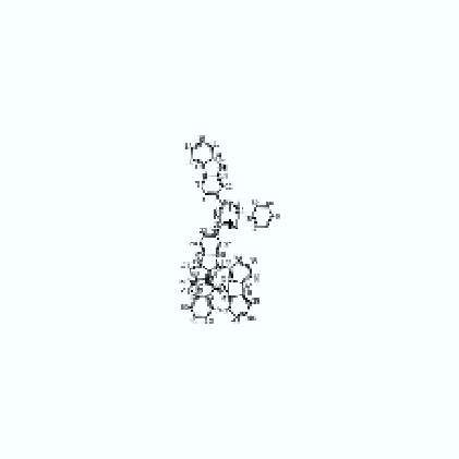 c1ccc(-c2nc(-c3ccc4c(c3)sc3ccccc34)nc(-c3ccc4c5ccccc5n(-c5cccc6c7ccccc7n(-c7cccc8ccccc78)c56)c4c3)n2)cc1